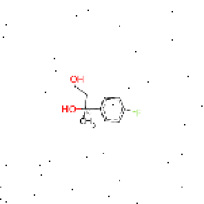 C[C@@](O)(CCO)c1ccc(F)cc1